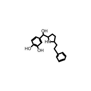 Oc1ccc(C(O)C2CCC(CCc3ccccc3)N2)cc1O